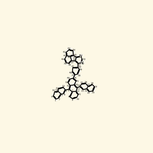 c1ccc2cc(-c3c4ccccc4c(-c4ccc5ccccc5c4)c4cc(-c5ccc(-c6ncnc7c6-c6cccc8cccc-7c68)cc5)ccc34)ccc2c1